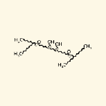 CCCCCCCCC(CCCCCC)COC(=O)CCCCCN(CCO)CCCN(CCO)CCCCCC(=O)OCC(CCCCCC)CCCCCCCC